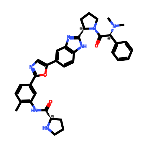 Cc1ccc(-c2ncc(-c3ccc4[nH]c([C@@H]5CCCN5C(=O)[C@@H](c5ccccc5)N(C)C)nc4c3)o2)cc1NC(=O)[C@@H]1CCCN1